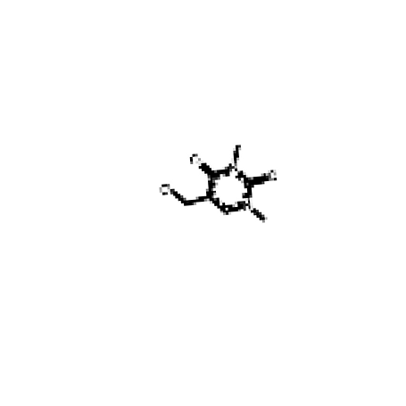 Cn1cc(CCl)c(=O)n(C)c1=O